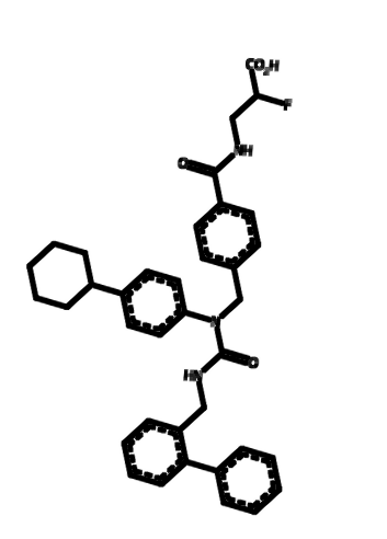 O=C(NCC(F)C(=O)O)c1ccc(CN(C(=O)NCc2ccccc2-c2ccccc2)c2ccc(C3CCCCC3)cc2)cc1